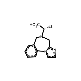 CC[C@@H](C(=O)O)N1Cc2ccccc2-n2ccnc2C1